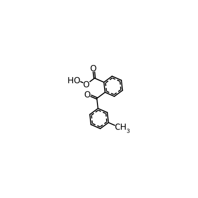 Cc1cccc(C(=O)c2ccccc2C(=O)OO)c1